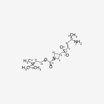 C[C@@H](N)/C=C/S(=O)(=O)C1CN(C(=O)OCC[Si](C)(C)C)C1